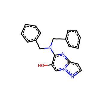 Oc1cn2nccc2nc1N(Cc1ccccc1)Cc1ccccc1